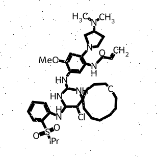 C=CC(=O)Nc1cc(NC2NC(Nc3ccccc3S(=O)(=O)C(C)C)C(Cl)C3(CCCCCCCCCC3)N2)c(OC)cc1N1CCC(N(C)C)C1